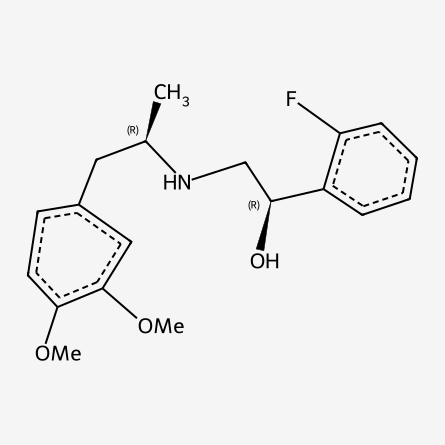 COc1ccc(C[C@@H](C)NC[C@H](O)c2ccccc2F)cc1OC